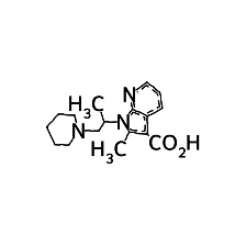 Cc1c(C(=O)O)c2cccnc2n1C(C)CN1CCCCC1